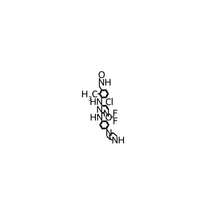 Cc1c(CNC=O)cccc1Nc1nc(Nc2ccc(N3CC4CC3CN4)cc2OC(F)F)ncc1Cl